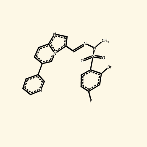 CN(N=Cc1cnc2ccc(-c3cccnc3)cn12)S(=O)(=O)c1ccc(F)cc1Br